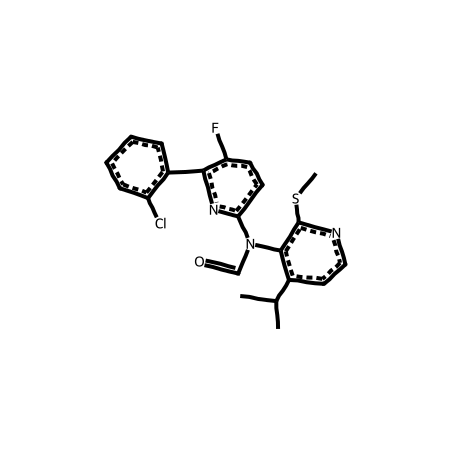 CSc1nccc(C(C)C)c1N(C=O)c1ccc(F)c(-c2ccccc2Cl)n1